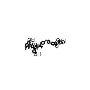 C[C@@]1(O)CCCN(c2nc(OCC3(CN4CCC(CN5CCN(c6ccc7c(c6)CN([C@H]6CCC(=O)NC6=O)C7=O)CC5)CC4)CC3)nc3c(F)c(-c4cc(O)cc5ccc(F)c(F)c45)ncc23)C1